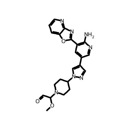 COC(C=O)N1CCC(n2cc(-c3cnc(N)c(-c4nc5ncccc5o4)c3)cn2)CC1